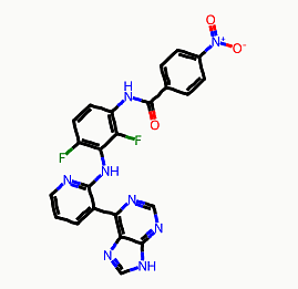 O=C(Nc1ccc(F)c(Nc2ncccc2-c2ncnc3[nH]cnc23)c1F)c1ccc([N+](=O)[O-])cc1